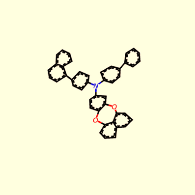 c1ccc(-c2ccc(N(c3ccc(-c4cccc5ccccc45)cc3)c3ccc4c(c3)Oc3cccc5cccc(c35)O4)cc2)cc1